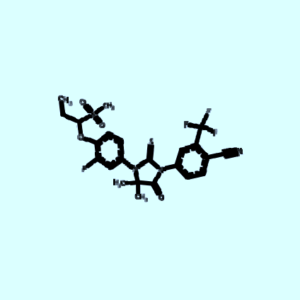 CCC(Oc1ccc(N2C(=S)N(c3ccc(C#N)c(C(F)(F)F)c3)C(=O)C2(C)C)cc1F)S(C)(=O)=O